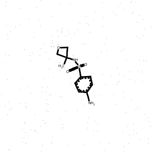 CC1(NS(=O)(=O)c2ccc(N)cc2)COC1